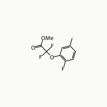 COC(=O)C(F)(F)Oc1cc(C)ccc1F